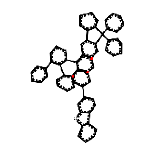 c1ccc(-c2ccccc2-c2c(-c3ccccc3)cccc2N(c2ccc(-c3ccc4c(c3)oc3ccccc34)cc2)c2ccc3c(c2)-c2ccccc2C3(c2ccccc2)c2ccccc2)cc1